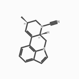 C[C@@H]1C=C2c3cccc4ccn(c34)C[C@H]2N(C#N)C1